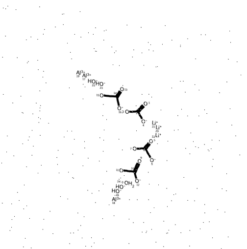 O.O=C([O-])[O-].O=C([O-])[O-].O=C([O-])[O-].O=C([O-])[O-].[Al+3].[Al+3].[Al+3].[Li+].[Li+].[Li+].[OH-].[OH-].[OH-].[OH-]